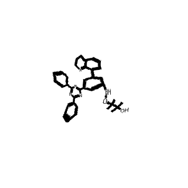 CC(C)(O)C(C)(C)OBc1cc(-c2nc(-c3ccccc3)nc(-c3ccccc3)n2)cc(-c2cccc3cccnc23)c1